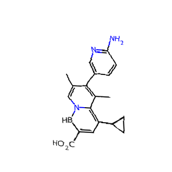 CC1=CN2BC(C(=O)O)=CC(C3CC3)=C2C(C)=C1c1ccc(N)nc1